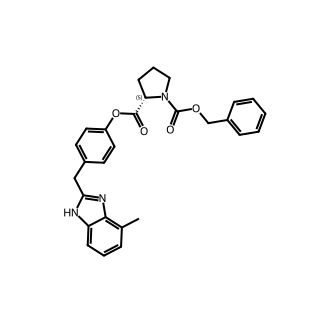 Cc1cccc2[nH]c(Cc3ccc(OC(=O)[C@@H]4CCCN4C(=O)OCc4ccccc4)cc3)nc12